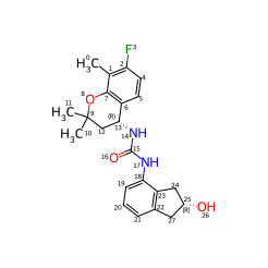 Cc1c(F)ccc2c1OC(C)(C)C[C@H]2NC(=O)Nc1cccc2c1C[C@H](O)C2